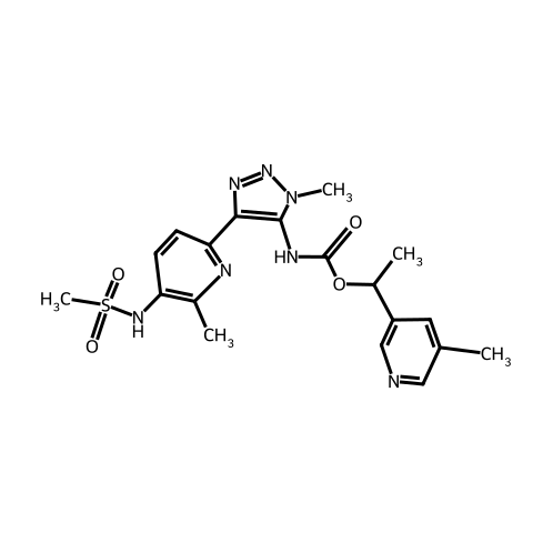 Cc1cncc(C(C)OC(=O)Nc2c(-c3ccc(NS(C)(=O)=O)c(C)n3)nnn2C)c1